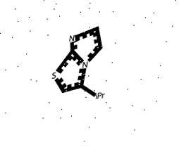 CC(C)c1csc2nccn12